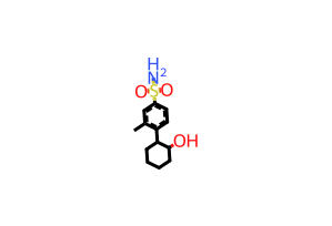 Cc1cc(S(N)(=O)=O)ccc1C1CCCCC1O